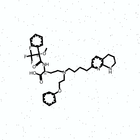 CO[C@@](C(=O)N[C@@H](CCN(CCCCc1ccc2c(n1)NCCC2)CCOc1ccccc1)C(=O)O)(c1ccccc1)C(F)(F)F